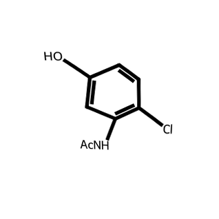 CC(=O)Nc1cc(O)ccc1Cl